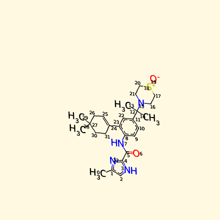 Cc1c[nH]c(C(=O)Nc2ccc(C(C)(C)N3CC[S+]([O-])CC3)cc2C2=CCC(C)(C)CC2)n1